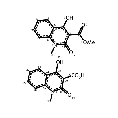 COC(=O)c1c(O)c2ccccc2n(C)c1=O.Cn1c(=O)c(C(=O)O)c(O)c2ccccc21